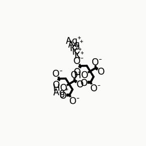 O=C([O-])CC(O)(CC(=O)[O-])C(=O)[O-].O=C([O-])CC(O)(CC(=O)[O-])C(=O)[O-].[Ag+].[Ag+].[Ag+].[K+].[K+].[K+]